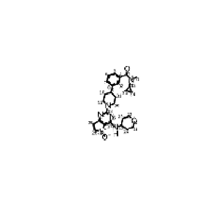 CN(C(=O)c1cccc(C2CCN(c3nc4c(c(NC5CCOCC5)n3)[S+]([O-])CC4)CC2)c1)C1CC1